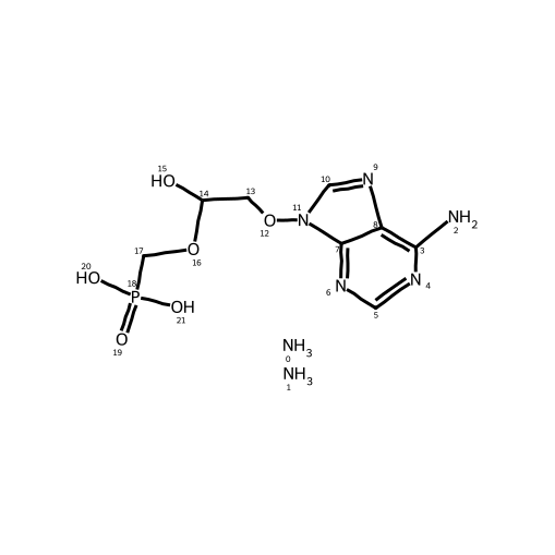 N.N.Nc1ncnc2c1ncn2OCC(O)OCP(=O)(O)O